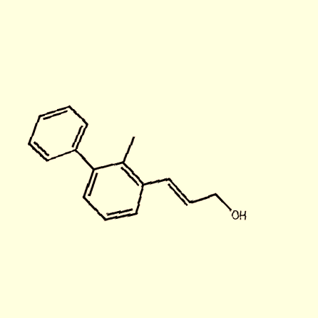 Cc1c(/C=C/CO)cccc1-c1ccccc1